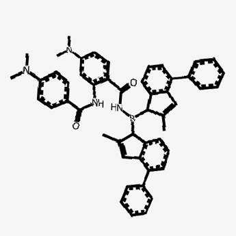 CC1=Cc2c(-c3ccccc3)cccc2C1B(NC(=O)c1ccc(N(C)C)cc1NC(=O)c1ccc(N(C)C)cc1)C1C(C)=Cc2c(-c3ccccc3)cccc21